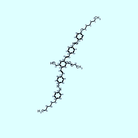 CCCCCCOc1ccc(/N=N/c2ccc(/C=C/c3cc(CO)c(/C=C/c4ccc(/N=N/c5ccc(CCCCCC)cc5)cc4)cc3OOCC)cc2)cc1